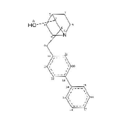 OC1C2CCN(CC2)C1Cc1ccc(-c2ccccc2)cc1